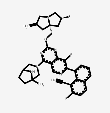 C#Cc1c(F)ccc2cccc(-c3ncc4c(N5CC6CCC(C)(C5)N6)nc(OC[C@]56CC(=C)CN5C[C@@H](F)C6)nc4c3F)c12